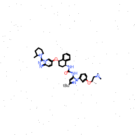 CC1CCCCN1c1nnc2ccc(O[C@@H]3CC[C@H](NC(=O)Nc4cc(C(C)(C)C)nn4-c4cccc(O[C@@H](C)CN(C)C)c4)c4ccccc43)cn12